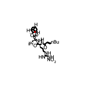 CCCCC=CC(=O)N[C@@H](CCCNC(=N)N[N+](=O)[O-])C(=O)N[C@@H](CC(C)C)B1O[C@@H]2C[C@@H]3C[C@@H](C3(C)C)[C@]2(C)O1